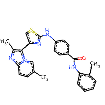 Cc1ccccc1NC(=O)c1ccc(Nc2nc(-c3c(C)nc4ccc(C(F)(F)F)cn34)cs2)cc1